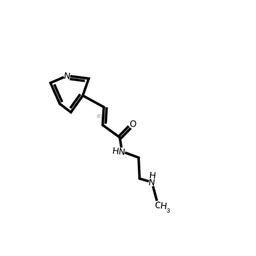 CNCCNC(=O)/C=C/c1cccnc1